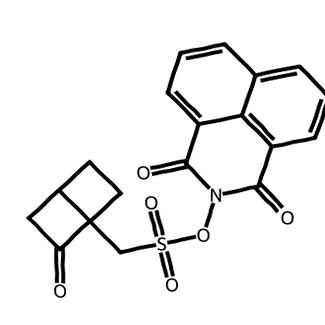 O=C1c2cccc3cccc(c23)C(=O)N1OS(=O)(=O)CC12CCC1CC2=O